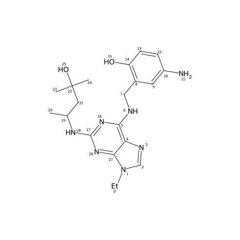 CCn1cnc2c(NCc3cc(N)ccc3O)nc(NC(C)CC(C)(C)O)nc21